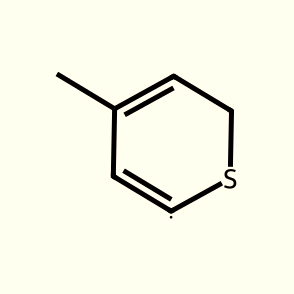 CC1=CCS[C]=C1